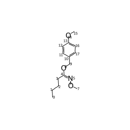 CCCCC(=NOC)OCc1ccc(OC)cc1